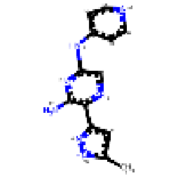 Cc1cc(-c2ncc(Nc3ccncc3)nc2N)n[nH]1